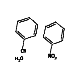 N#Cc1ccccc1.O.O=[N+]([O-])c1ccccc1